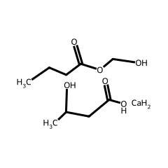 CC(O)CC(=O)O.CCCC(=O)OCO.[CaH2]